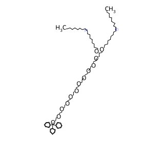 CCCCCCCC/C=C\CCCCCCCCOCC(COCCOCCOCCOCCOCCOCCOCCOCCOCCOCCOC(c1ccccc1)(c1ccccc1)c1ccccc1)OCCCCCCCC/C=C\CCCCCCCC